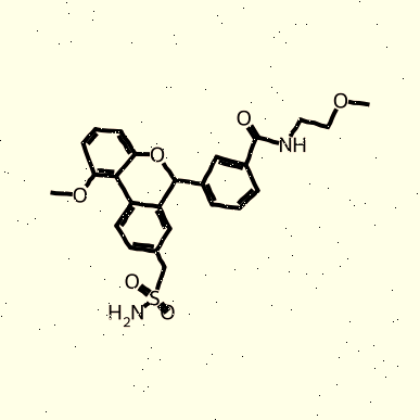 COCCNC(=O)c1cccc(C2Oc3cccc(OC)c3-c3ccc(CS(N)(=O)=O)cc32)c1